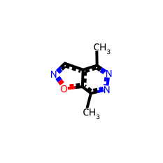 Cc1nnc(C)c2oncc12